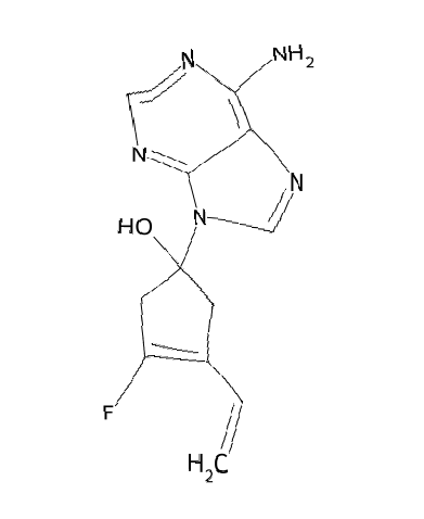 C=CC1=C(F)CC(O)(n2cnc3c(N)ncnc32)C1